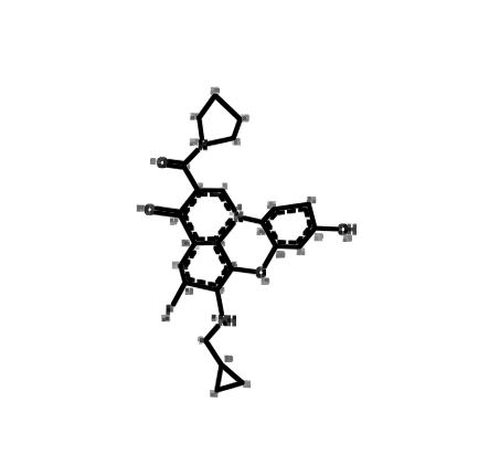 O=C(c1cn2c3c(c(NCC4CC4)c(F)cc3c1=O)Oc1cc(O)ccc1-2)N1CCCC1